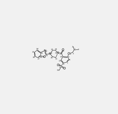 CC(C)COc1ccc(S(C)(=O)=O)cc1C(=O)N1CCN(c2nc3ccccc3o2)CC1